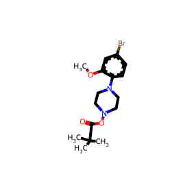 COc1cc(Br)ccc1N1CCN(OC(=O)C(C)(C)C)CC1